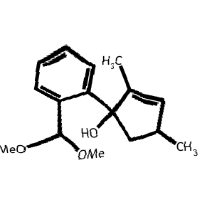 COC(OC)c1ccccc1C1(O)CC(C)C=C1C